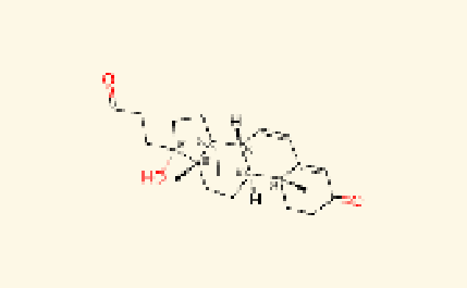 C[C@]12CCC(=O)C=C1C=C[C@@H]1[C@@H]2CC[C@@]2(C)[C@H]1CC[C@]2(O)CCC=O